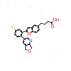 O=C(O)CCCc1ccc2oc(-c3cc(F)ccc3-c3cnc4c(c3)COC4)cc2c1